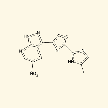 Cc1cnc(-c2nc(-c3n[nH]c4ncc([N+](=O)[O-])cc34)cs2)[nH]1